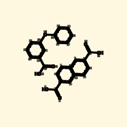 O=C(O)c1ccc2cc(C(=O)O)ccc2c1.O=C(O)c1cccc(Oc2ccccc2)c1